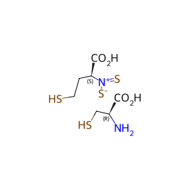 N[C@@H](CS)C(=O)O.O=C(O)[C@H](CCS)[N+](=S)[S-]